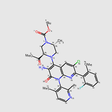 COC(=O)[C@H]1CN(C(=O)OC(C)(C)C)[C@H](C)CN1c1c(N)c(=O)n(-c2c(SC)ccnc2C(C)C)c2nc(-c3c(F)cccc3OC)c(Cl)cc12